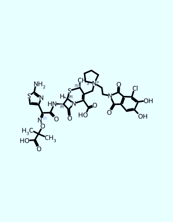 C[C@@H]1S[C@@H]2[C@H](NC(=O)/C(=N\OC(C)(C)C(=O)O)c3csc(N)n3)C(=O)N2C(C(=O)O)=C1C[N+]1(CCN2C(=O)c3cc(O)c(O)c(Cl)c3C2=O)CCCC1